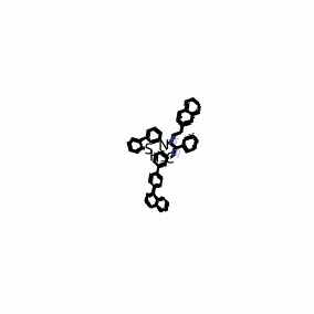 C/C=C(\C(=C/Cc1ccc2ccccc2c1)N(c1ccc(-c2ccc(-c3cccc4ccccc34)cc2)cc1)c1cccc2c1sc1ccccc12)c1ccccc1